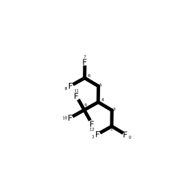 FC(F)C[C](CC(F)F)C(F)(F)F